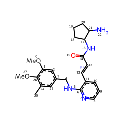 COc1cc(CNc2ncccc2/C=C/C(=O)NC2CCCC2N)cc(C)c1OC